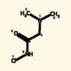 CN(C)CC(=O)NCl